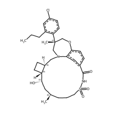 CCCc1cc(Cl)ccc1[C@]1(C)COc2ccc3cc2N(C[C@@H]2CC[C@H]2[C@@H](O)C[C@H](C)CCCS(=O)(=O)NC3=O)C1